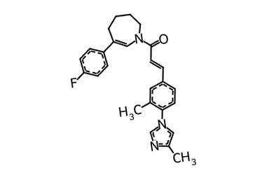 Cc1cn(-c2ccc(/C=C/C(=O)N3C=C(c4ccc(F)cc4)CCCC3)cc2C)cn1